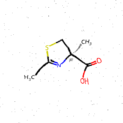 CC1=N[C@](C)(C(=O)O)CS1